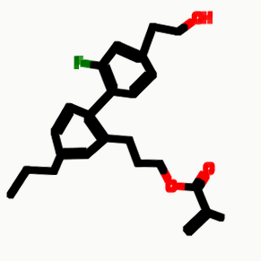 C=C(C)C(=O)OCCCc1cc(CCC)ccc1-c1ccc(CCO)cc1F